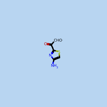 Nc1csc(C(=O)[C]=O)n1